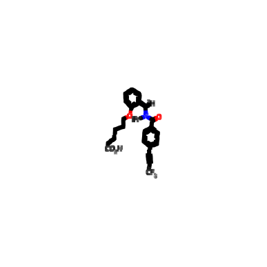 [2H]C(c1ccccc1OCCCCCC(=O)O)N(C(=O)c1ccc(C#CC(F)(F)F)cc1)C(C)C